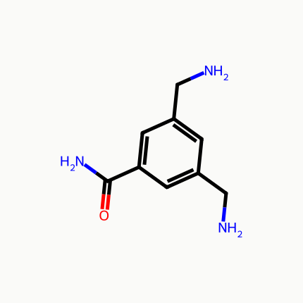 NCc1cc(CN)cc(C(N)=O)c1